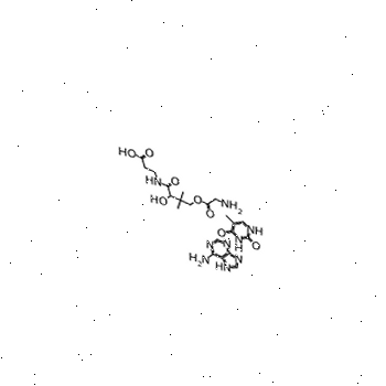 CC(C)(COC(=O)CN)C(O)C(=O)NCCC(=O)O.Cc1c[nH]c(=O)[nH]c1=O.Nc1ncnc2nc[nH]c12